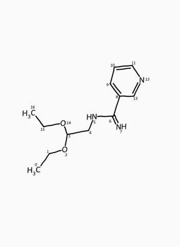 CCOC(CNC(=N)c1cccnc1)OCC